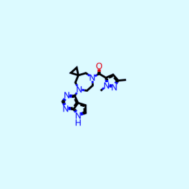 Cc1cc(C(=O)N2CCN(c3ncnc4[nH]ccc34)CC3(CC3)C2)n(C)n1